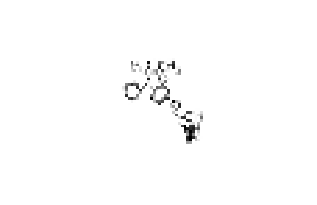 CC(C)NCC(O)COc1ccc2c(c1)OC(C)(C)CC2c1ccccc1